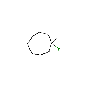 CC1(F)CCCCCCC1